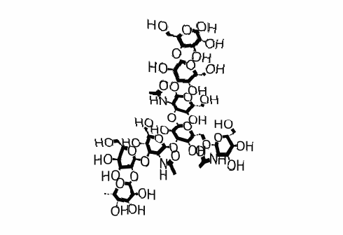 CC(=O)N[C@H]1[C@H](OC[C@H]2O[C@@H](O[C@H]3[C@H](O)[C@@H](CO)O[C@@H](O[C@H]4[C@@H](O)[C@@H](CO)O[C@@H](O[C@H]5[C@H](O)[C@@H](O)[C@H](O)O[C@@H]5CO)[C@@H]4O)[C@@H]3NC(C)=O)[C@H](O)[C@@H](O[C@@H]3O[C@H](CO)[C@@H](O)[C@H](O[C@@H]4O[C@H](CO)[C@H](O)[C@H](O)[C@H]4O[C@@H]4O[C@@H](C)[C@@H](O)[C@@H](O)[C@@H]4O)[C@H]3NC(C)=O)[C@H]2O)O[C@H](CO)[C@@H](O)[C@@H]1O